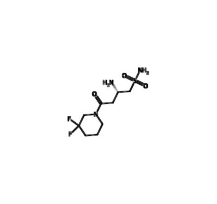 N[C@@H](CC(=O)N1CCCC(F)(F)C1)CS(N)(=O)=O